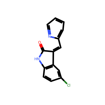 O=C1Nc2ccc(Cl)cc2/C1=C/c1ccccn1